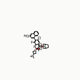 CN(C)C1CN(c2nc(N3CC4CCC(C3)N4C(=O)OC(C)(C)C)c3cc(Cl)c(-c4cc(O)cc5ccccc45)c(F)c3n2)C1